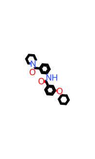 O=C(Nc1cccc(C(=O)N2CCCCC2)c1)c1cccc(OC2CCCCC2)c1